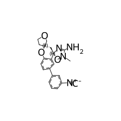 [C-]#[N+]c1cccc(-c2ccc3c(c2)[C@]2(C[C@@]4(CCOC4)O3)N=C(N)N(C)O2)c1